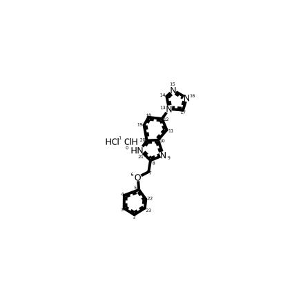 Cl.Cl.c1ccc(OCc2nc3cc(-n4cnnc4)ccc3[nH]2)cc1